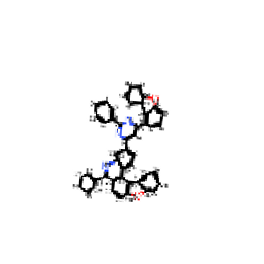 c1ccc(-c2nc(-c3ccc4c(c3)nc(-c3ccccc3)c3ccc5oc6ccccc6c5c34)cc(-c3cccc4oc5ccccc5c34)n2)cc1